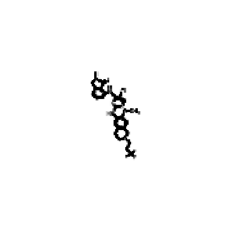 COc1cc2c(cc1Nc1ncc(Cl)c(Nc3cccc4c3C(=O)NC4)n1)CCN(CCC(F)(F)F)C2